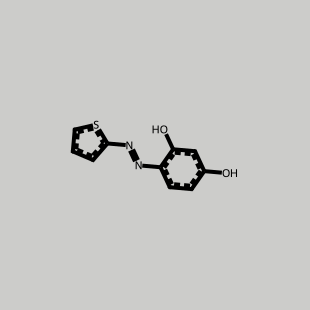 Oc1ccc(N=Nc2cccs2)c(O)c1